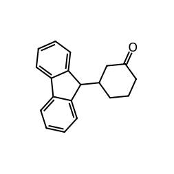 O=C1CCCC(C2c3ccccc3-c3ccccc32)C1